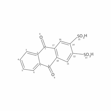 O=C1c2ccccc2C(=O)c2cc(S(=O)(=O)O)c(S(=O)(=O)O)cc21